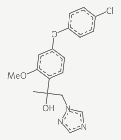 COc1cc(Oc2ccc(Cl)cc2)ccc1C(C)(O)Cn1cncn1